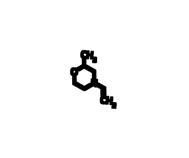 C=CN1CCOC(C)C1